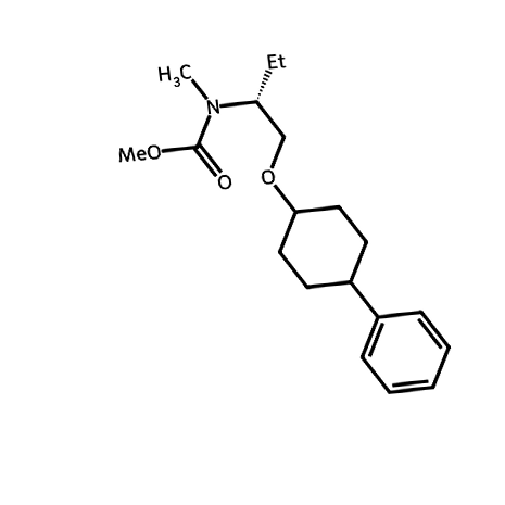 CC[C@H](COC1CCC(c2ccccc2)CC1)N(C)C(=O)OC